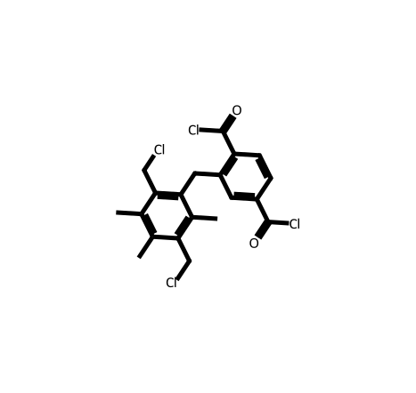 Cc1c(C)c(CCl)c(Cc2cc(C(=O)Cl)ccc2C(=O)Cl)c(C)c1CCl